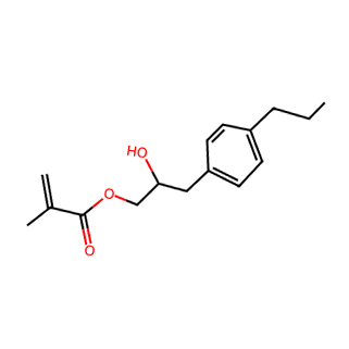 C=C(C)C(=O)OCC(O)Cc1ccc(CCC)cc1